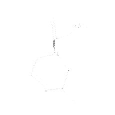 CC1C=CCN(C(N)=O)C1